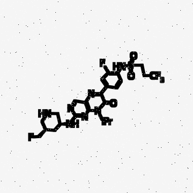 CC(C)n1c(=O)c(-c2ccc(NS(=O)(=O)CCC(F)(F)F)c(F)c2)nc2cnc(N[C@@H]3CNC[C@H](CF)C3)nc21